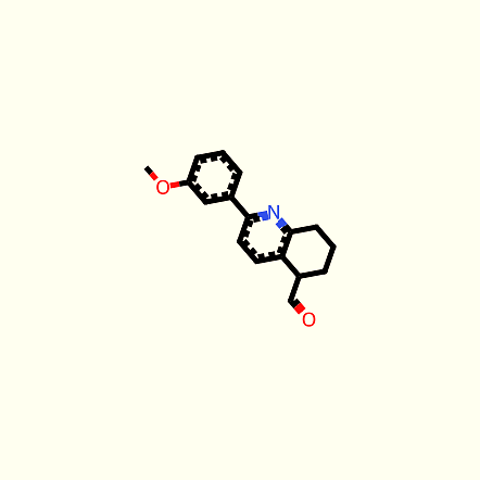 COc1cccc(-c2ccc3c(n2)CCCC3C=O)c1